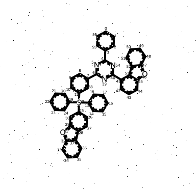 c1ccc(-c2nc(-c3cccc(S(c4ccccc4)(c4ccccc4)c4ccc5c(c4)oc4ccccc45)c3)nc(-c3cccc4oc5ccccc5c34)n2)cc1